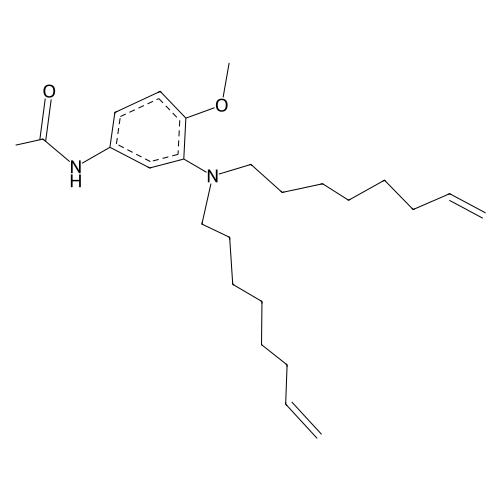 C=CCCCCCCN(CCCCCCC=C)c1cc(NC(C)=O)ccc1OC